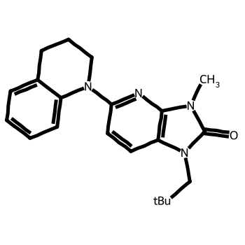 Cn1c(=O)n(CC(C)(C)C)c2ccc(N3CCCc4ccccc43)nc21